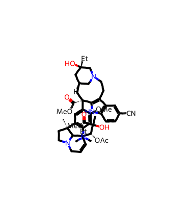 CC[C@]1(O)C[C@@H]2CN(CCc3c([nH]c4ccc(C#N)cc34)[C@@](C(=O)OC)(c3cc([C@]4(C)CCN5CC=C[C@@](CC)([C@@H](OC(C)=O)C(C)(O)C(=O)OC)C54)c(N(C)C)cc3OC)C2)C1